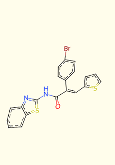 O=C(Nc1nc2ccccc2s1)C(=Cc1cccs1)c1ccc(Br)cc1